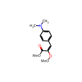 COO/C(=C/c1ccc(N(C)C)cc1)C(=O)OC